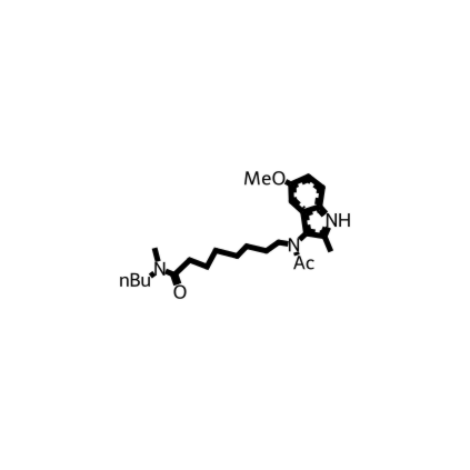 CCCCN(C)C(=O)CCCCCCCN(C(C)=O)c1c(C)[nH]c2ccc(OC)cc12